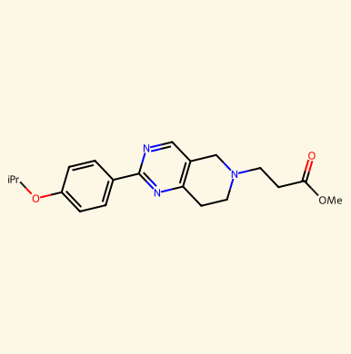 COC(=O)CCN1CCc2nc(-c3ccc(OC(C)C)cc3)ncc2C1